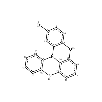 CCc1ccc2c(c1)N1c3ncccc3Sc3cccc(c31)O2